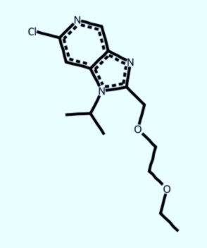 CCOCCOCc1nc2cnc(Cl)cc2n1C(C)C